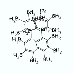 Bc1c(B)c(B)c(-c2c(B)c(B)c(B)c3c(B)c(B)c(B)c(-c4c(B)c(B)c(C(C)C)c(B)c4B)c23)c(B)c1B